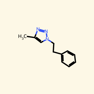 Cc1cn(CCc2ccccc2)nn1